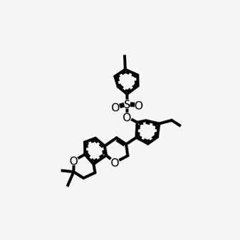 CCc1ccc(C2=Cc3ccc4c(c3OC2)CCC(C)(C)O4)c(OS(=O)(=O)c2ccc(C)cc2)c1